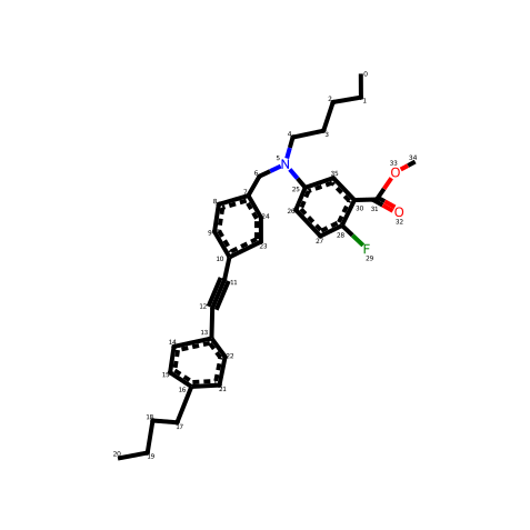 CCCCCN(Cc1ccc(C#Cc2ccc(CCCC)cc2)cc1)c1ccc(F)c(C(=O)OC)c1